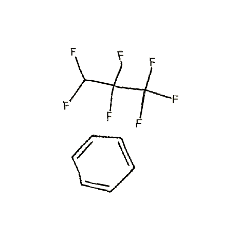 FC(F)C(F)(F)C(F)(F)F.c1ccccc1